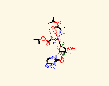 CC(C)OC(=O)[C@H](C)NP(=O)(N[C@@H](C)C(=O)OC(C)C)OC[C@@]1(F)O[C@@H](n2ccc(N)nc2=O)[C@](C)(F)[C@@H]1O